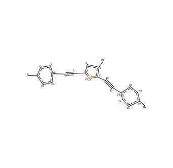 Cc1ccc(C#Cc2cc(C)c(C#Cc3ccc(C)cc3)s2)cc1